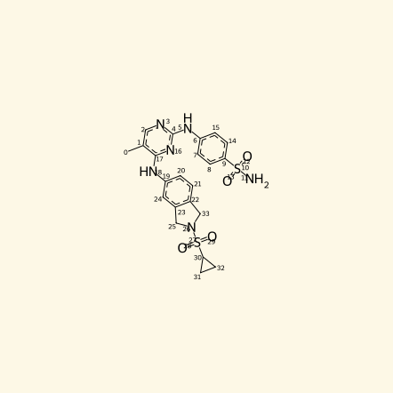 Cc1cnc(Nc2ccc(S(N)(=O)=O)cc2)nc1Nc1ccc2c(c1)CN(S(=O)(=O)C1CC1)C2